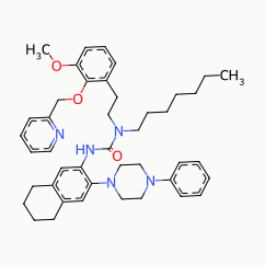 CCCCCCCN(CCc1cccc(OC)c1OCc1ccccn1)C(=O)Nc1cc2c(cc1N1CCN(c3ccccc3)CC1)CCCC2